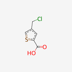 O=C(O)c1cc(CCl)cs1